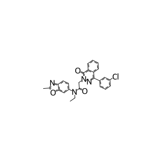 CCN(C(=O)Cn1nc(-c2cccc(Cl)c2)c2ccccc2c1=O)c1ccc2nc(C)oc2c1